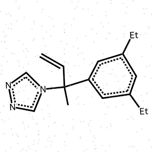 C=CC(C)(c1cc(CC)cc(CC)c1)n1cnnc1